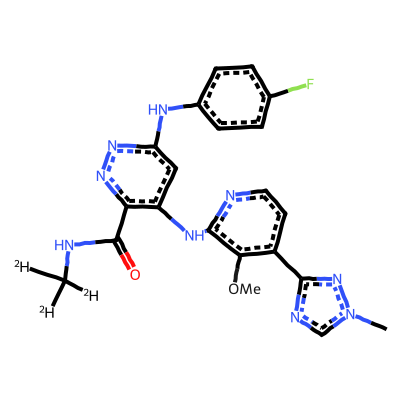 [2H]C([2H])([2H])NC(=O)c1nnc(Nc2ccc(F)cc2)cc1Nc1nccc(-c2ncn(C)n2)c1OC